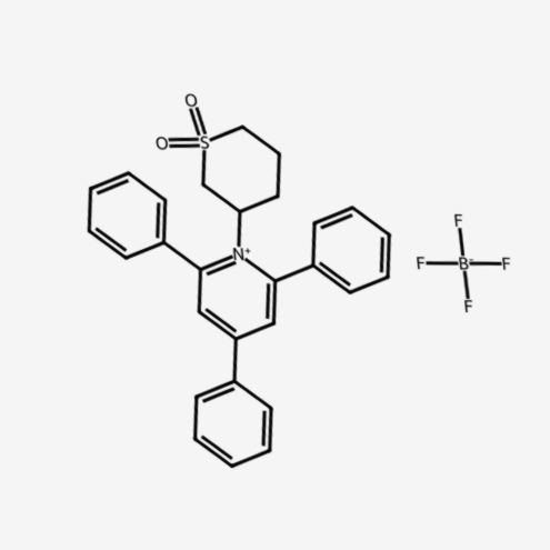 F[B-](F)(F)F.O=S1(=O)CCCC([n+]2c(-c3ccccc3)cc(-c3ccccc3)cc2-c2ccccc2)C1